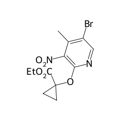 CCOC(=O)C1(Oc2ncc(Br)c(C)c2[N+](=O)[O-])CC1